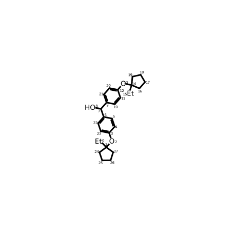 CCC1(Oc2ccc(C(O)c3ccc(OC4(CC)CCCC4)cc3)cc2)CCCC1